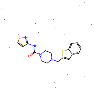 O=C(Nc1ccon1)N1CCN(Cc2cc3ccccc3s2)CC1